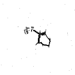 CC[CH]C1=CCCCC1